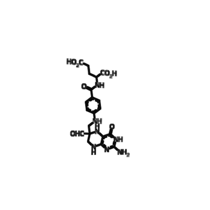 Nc1nc2c(c(=O)[nH]1)NC(C=O)(CNc1ccc(C(=O)NC(CCC(=O)O)C(=O)O)cc1)CN2